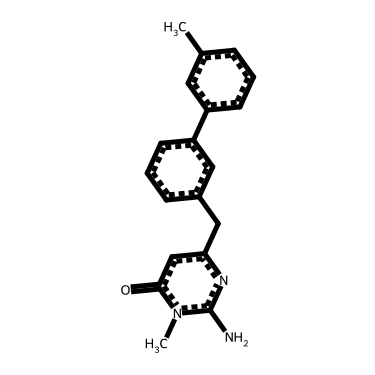 Cc1cccc(-c2cccc(Cc3cc(=O)n(C)c(N)n3)c2)c1